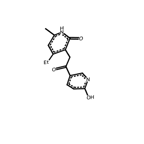 CCc1cc(C)[nH]c(=O)c1CC(=O)c1ccc(O)nc1